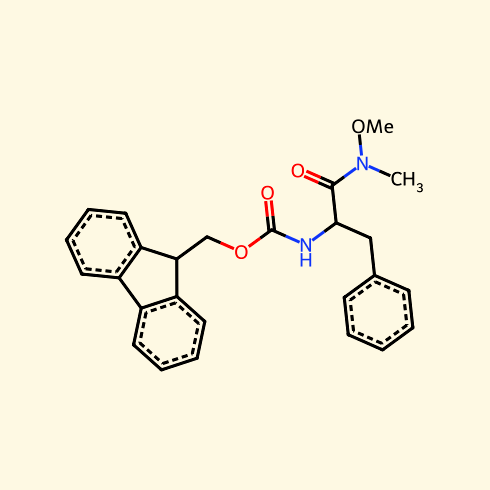 CON(C)C(=O)C(Cc1ccccc1)NC(=O)OCC1c2ccccc2-c2ccccc21